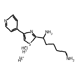 Cl.NCCCCC(N)c1nc(-c2ccncc2)cs1.[H+].[H+].[H+]